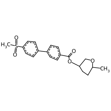 CC1CCC(OC(=O)c2ccc(-c3ccc(S(C)(=O)=O)cc3)cc2)CO1